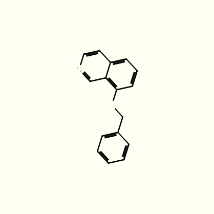 c1ccc(CSc2cccc3ccncc23)cc1